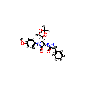 COc1ccc(N2C(=O)[C@@H](NC(=O)Cc3ccccc3)[C@@H]2C2COC(C)(C)O2)cc1